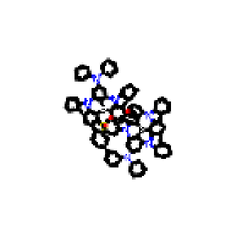 c1ccc(N(c2ccccc2)c2cc3c4c(c2)-n2c5ccccc5c5cc6c(sc7cc(-c8cccc(N(c9ccccc9)c9cc%10c%11c(c9)-n9c%12ccccc%12c%12cc%13c%14ccccc%14n(-c%14ccccc%14)c%13c(c%129)B%11c9cccc%11c%12ccccc%12n-%10c9%11)c8)ccc76)c(c52)B4c2cccc4c5ccccc5n-3c24)cc1